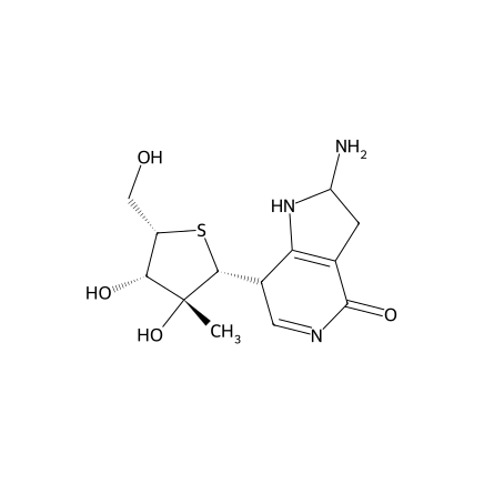 C[C@]1(O)[C@@H](C2C=NC(=O)C3=C2NC(N)C3)S[C@@H](CO)[C@H]1O